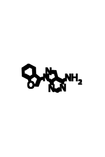 Nc1ncnc2c1cnn2-c1coc2ccccc12